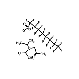 CC(=O)C[S+](C(C)C)C(C)C.O=S(=O)([O-])C(F)(F)C(F)(F)C(F)(F)C(F)(F)C(F)(F)C(F)(F)C(F)(F)C(F)(F)F